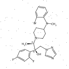 C[C@@H](N1CCC(N(C)c2ccccc2Br)CC1)[C@](O)(Cn1cncn1)c1ccc(F)cc1F